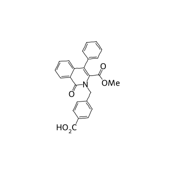 COC(=O)c1c(-c2ccccc2)c2ccccc2c(=O)n1Cc1ccc(C(=O)O)cc1